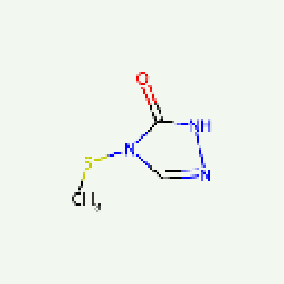 CSn1cn[nH]c1=O